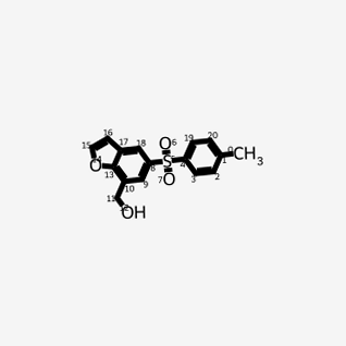 Cc1ccc(S(=O)(=O)c2cc(CO)c3occc3c2)cc1